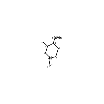 CSC1CCN(C(C)C)CC1C